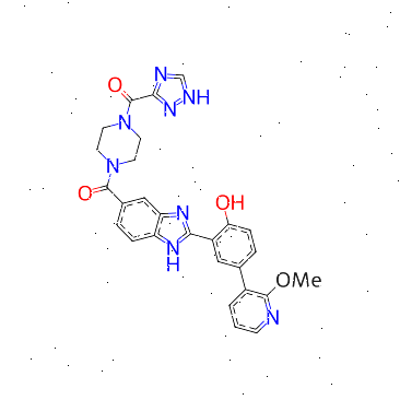 COc1ncccc1-c1ccc(O)c(-c2nc3cc(C(=O)N4CCN(C(=O)c5nc[nH]n5)CC4)ccc3[nH]2)c1